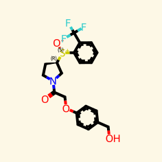 O=C(COc1ccc(CO)cc1)N1CC[C@@H]([S@@+]([O-])c2ccccc2C(F)(F)F)C1